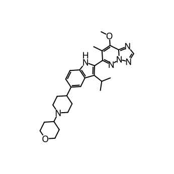 COc1c(C)c(-c2[nH]c3ccc(C4CCN(C5CCOCC5)CC4)cc3c2C(C)C)nn2ncnc12